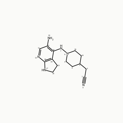 N#CCC1CCN(Nc2c(N)cnc3c2CCN3)CC1